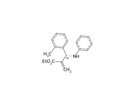 C=C(C(=O)OCC)[C@@H](Nc1ccccc1)c1ccccc1C